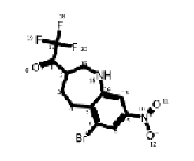 O=C(C1CCc2c(Br)cc([N+](=O)[O-])cc2NC1)C(F)(F)F